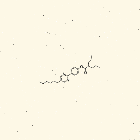 CCCCCCc1cnc(-c2ccc(OC(=O)C(CCC)CCC)cc2)nc1